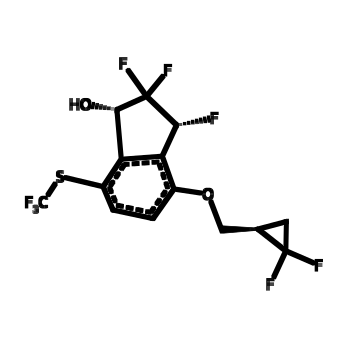 O[C@H]1c2c(SC(F)(F)F)ccc(OC[C@H]3CC3(F)F)c2[C@@H](F)C1(F)F